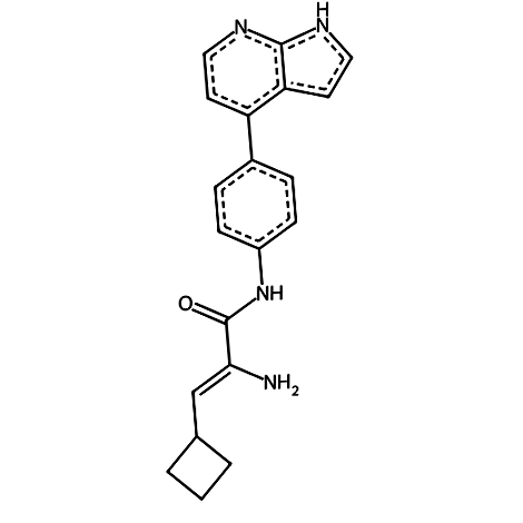 NC(=CC1CCC1)C(=O)Nc1ccc(-c2ccnc3[nH]ccc23)cc1